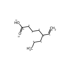 C=CC(CCC)CCCC(=O)O